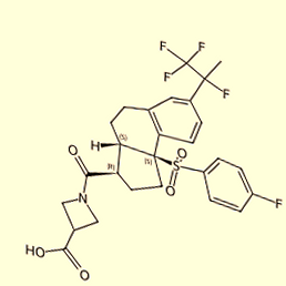 CC(F)(c1ccc2c(c1)CC[C@H]1[C@H](C(=O)N3CC(C(=O)O)C3)CC[C@@]21S(=O)(=O)c1ccc(F)cc1)C(F)(F)F